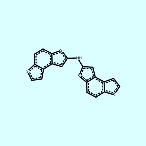 c1cc2c(ccc3sc(Nc4cc5c(ccc6sccc65)s4)cc32)s1